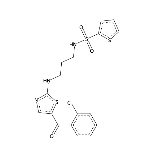 O=C(c1cnc(NCCCNS(=O)(=O)c2cccs2)s1)c1ccccc1Cl